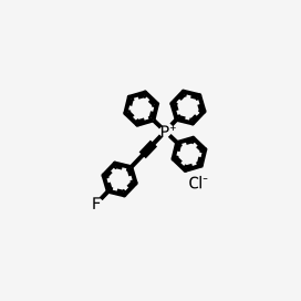 Fc1ccc(C#C[P+](c2ccccc2)(c2ccccc2)c2ccccc2)cc1.[Cl-]